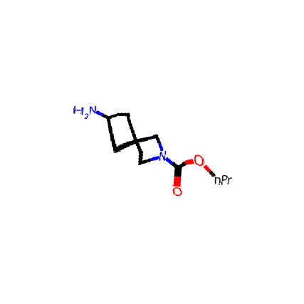 CCCOC(=O)N1CC2(CC(N)C2)C1